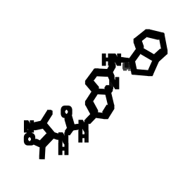 Cc1noc(C)c1NC(=O)Nc1ccc2nc(N[C@@H]3CCc4ccccc43)ccc2c1